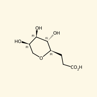 O=C(O)CC[C@H]1OC[C@@H](O)[C@@H](O)[C@@H]1O